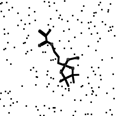 C=C(C)C(=O)OCCC[Si]1(OC(C)C)OC(C)(C)C(C)(C)O1